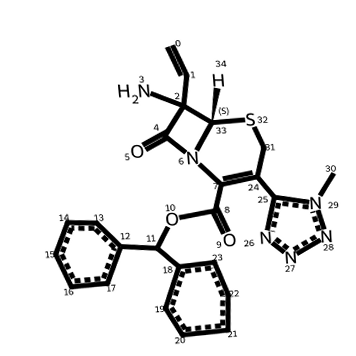 C=CC1(N)C(=O)N2C(C(=O)OC(c3ccccc3)c3ccccc3)=C(c3nnnn3C)CS[C@H]21